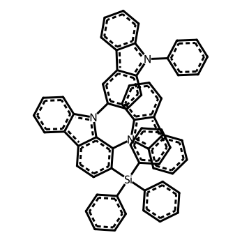 c1ccc(-n2c3ccccc3c3cc(-n4c5ccccc5c5ccc([Si](c6ccccc6)(c6ccccc6)c6ccccc6)c(-n6c7ccccc7c7ccccc76)c54)ccc32)cc1